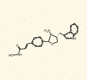 NN1C(c2ccc(/C=C/C(=O)NO)cc2)OC[C@H]1Cc1c[nH]c2ccccc12